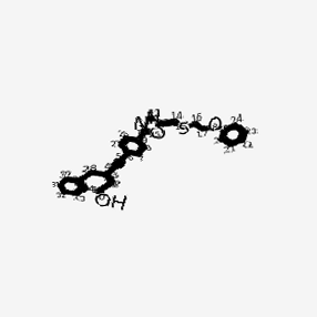 OCCC(C#Cc1ccc(-c2nnc(CSCCOc3ccccc3)o2)cc1)Cc1ccccc1